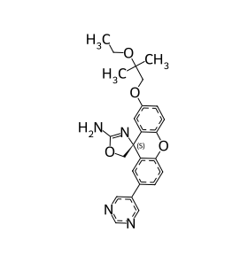 CCOC(C)(C)COc1ccc2c(c1)[C@]1(COC(N)=N1)c1cc(-c3cncnc3)ccc1O2